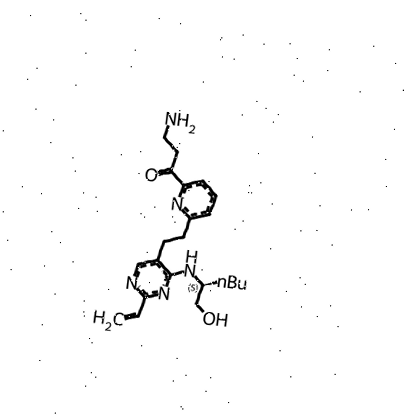 C=Cc1ncc(CCc2cccc(C(=O)CCN)n2)c(N[C@H](CO)CCCC)n1